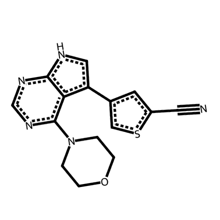 N#Cc1cc(-c2c[nH]c3ncnc(N4CCOCC4)c23)cs1